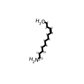 CCC/C=C\CCCCCCCCN